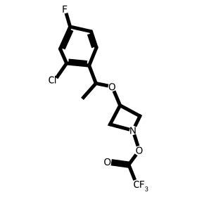 CC(OC1CN(OC(=O)C(F)(F)F)C1)c1ccc(F)cc1Cl